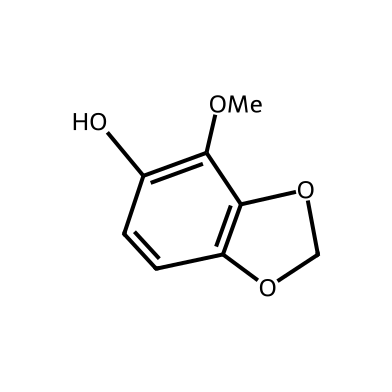 COc1c(O)ccc2c1OCO2